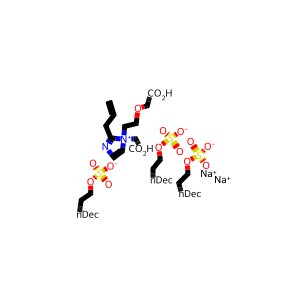 C=CCC1=NC=C[N+]1(CCOCC(=O)O)CC(=O)O.CCCCCCCCCCCCOS(=O)(=O)[O-].CCCCCCCCCCCCOS(=O)(=O)[O-].CCCCCCCCCCCCOS(=O)(=O)[O-].[Na+].[Na+]